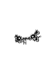 C=CCN1C(=O)CCc2c(OCCCNCCc3ccc(OC)c(OC)c3O)ccc(OCC(C)=O)c21